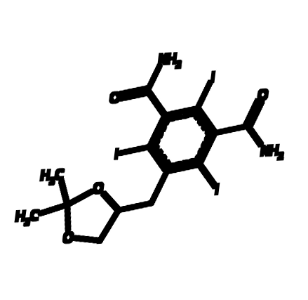 CC1(C)OCC(Cc2c(I)c(C(N)=O)c(I)c(C(N)=O)c2I)O1